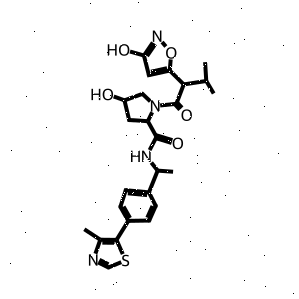 Cc1ncsc1-c1ccc(C(C)NC(=O)C2CC(O)CN2C(=O)C(c2cc(O)no2)C(C)C)cc1